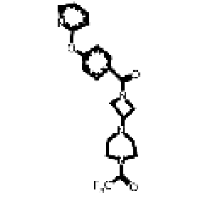 O=C(c1ccc(Oc2ccccn2)cc1)N1CC(N2CCN(C(=O)C(F)(F)F)CC2)C1